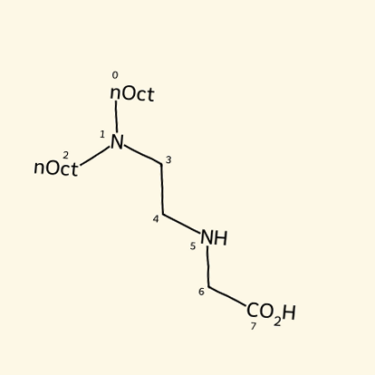 CCCCCCCCN(CCCCCCCC)CCNCC(=O)O